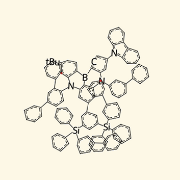 CC(C)(C)c1ccc2c(c1)N(c1ccc(-c3ccccc3)cc1-c1ccccc1)c1cc(-c3cc([Si](c4ccccc4)(c4ccccc4)c4cccc(-c5ccccc5)c4)cc([Si](c4ccccc4)(c4ccccc4)c4cccc(-c5ccccc5)c4)c3)cc3c1B2c1ccc(-n2c4ccccc4c4ccccc42)cc1N3c1cccc(-c2ccccc2)c1